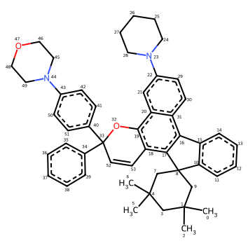 CC1(C)CC(C)(C)CC2(C1)c1ccccc1-c1c2c2c(c3cc(N4CCCCC4)ccc13)OC(c1ccccc1)(c1ccc(N3CCOCC3)cc1)C=C2